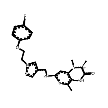 Cc1nc(NCc2cnn(CCOc3ccc(F)cc3)c2)cc2c1NC(=O)[C@H](C)N2C